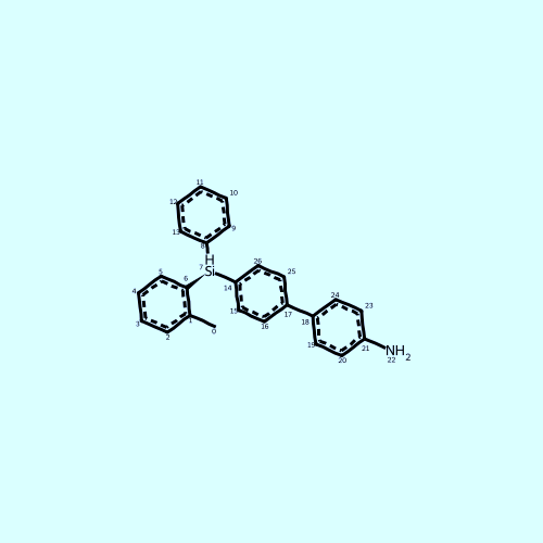 Cc1ccccc1[Si@@H](c1ccccc1)c1ccc(-c2ccc(N)cc2)cc1